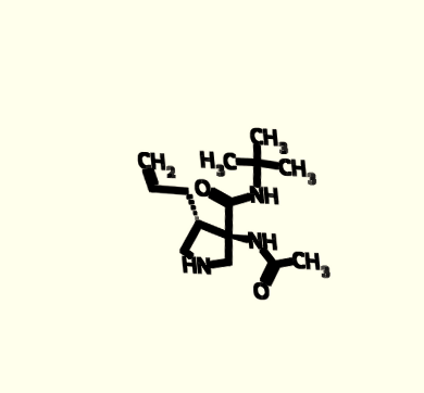 C=CC[C@H]1CNC[C@@]1(NC(C)=O)C(=O)NC(C)(C)C